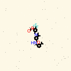 Cc1c(C)n(Cc2ccc(C(F)(F)F)c(O[C@@H](C)C=O)c2)c2ccc(C(=O)N[C@@H](C)c3cccc(C(C)C)c3)cc12